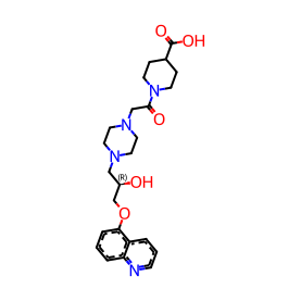 O=C(O)C1CCN(C(=O)CN2CCN(C[C@@H](O)COc3cccc4ncccc34)CC2)CC1